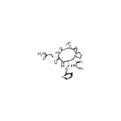 CC(C)C[C@@H]1NC(=O)[C@@H]2CCCN2[C@H](C(=O)NC(C)(C)C)[C@H](CSc2cccs2)NC(=O)[C@H](CCC(N)=O)NC1=O